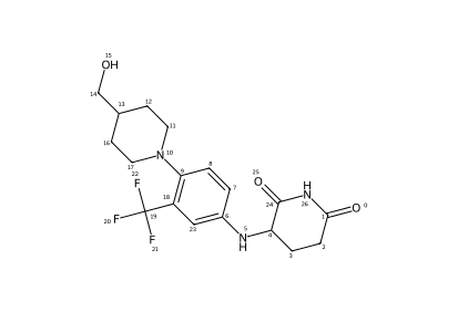 O=C1CCC(Nc2ccc(N3CCC(CO)CC3)c(C(F)(F)F)c2)C(=O)N1